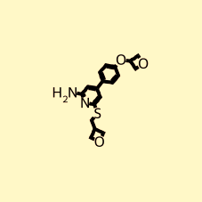 Nc1cc(-c2ccc(OC3COC3)cc2)cc(SCC2COC2)n1